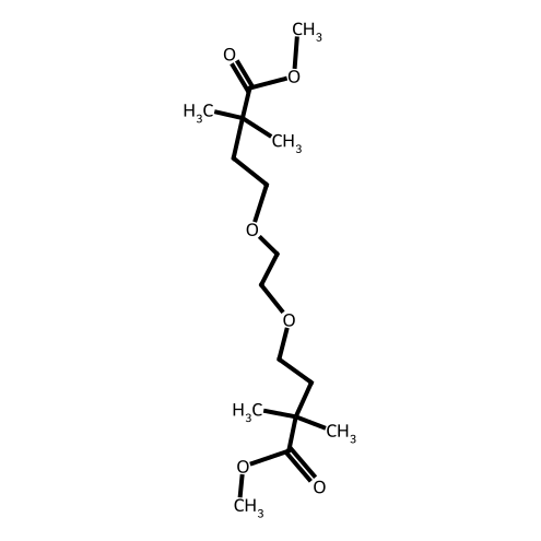 COC(=O)C(C)(C)CCOCCOCCC(C)(C)C(=O)OC